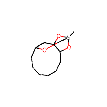 C[Si]12OC3CCCCCCC(O1)C(C3)O2